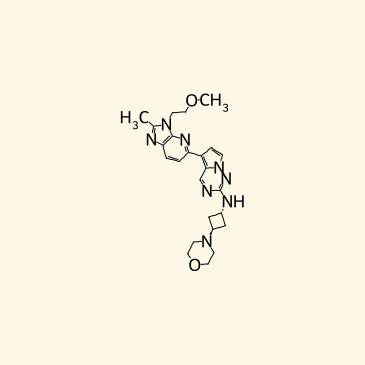 COCCn1c(C)nc2ccc(-c3ccn4nc(N[C@H]5C[C@H](N6CCOCC6)C5)ncc34)nc21